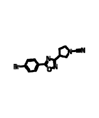 N#CN1CCC(c2noc(-c3ccc(Br)cc3)n2)C1